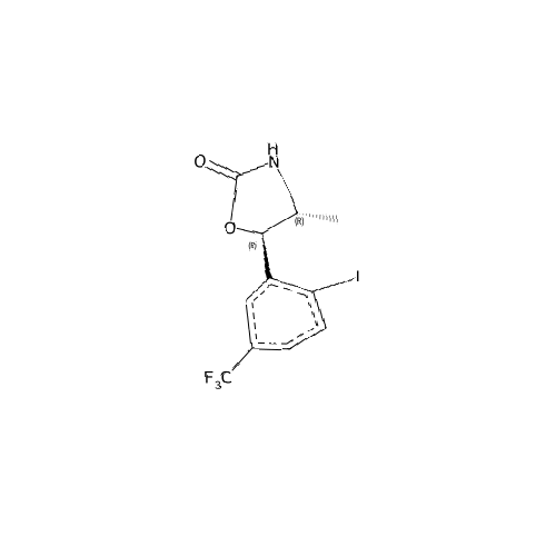 C[C@H]1NC(=O)O[C@@H]1c1cc(C(F)(F)F)ccc1I